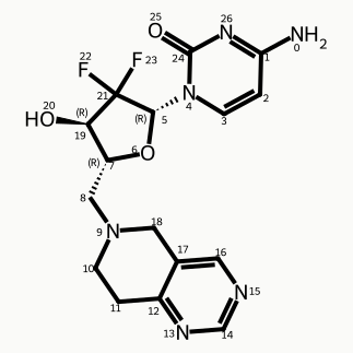 Nc1ccn([C@@H]2O[C@H](CN3CCc4ncncc4C3)[C@@H](O)C2(F)F)c(=O)n1